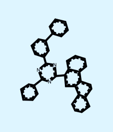 c1ccc(-c2cccc(-c3nc(-c4ccccc4)nc(-c4cc5c6ccccc6ccc5c5ccccc45)n3)c2)cc1